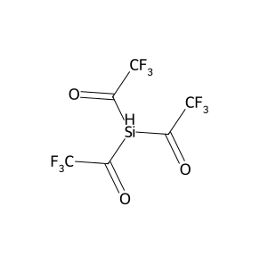 O=C([SiH](C(=O)C(F)(F)F)C(=O)C(F)(F)F)C(F)(F)F